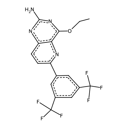 CCOc1nc(N)nc2ccc(-c3cc(C(F)(F)F)cc(C(F)(F)F)c3)nc12